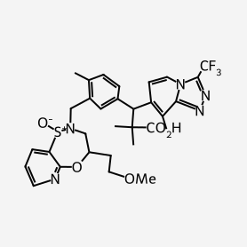 COCCC1CN(Cc2cc(C(c3ccn4c(C(F)(F)F)nnc4c3C)C(C)(C)C(=O)O)ccc2C)[S+]([O-])c2cccnc2O1